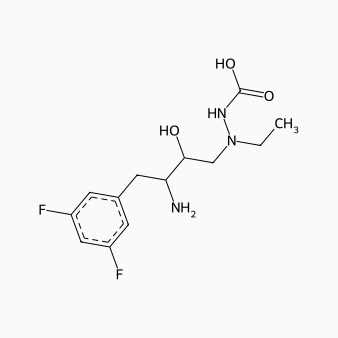 CCN(CC(O)C(N)Cc1cc(F)cc(F)c1)NC(=O)O